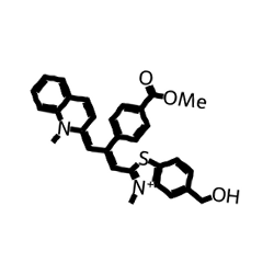 COC(=O)c1ccc(C(=C\c2sc3ccc(CO)cc3[n+]2C)/C=C2\C=Cc3ccccc3N2C)cc1